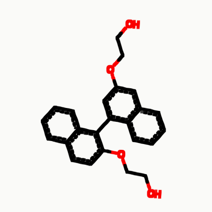 OCCOc1cc(-c2c(OCCO)ccc3ccccc23)c2ccccc2c1